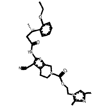 CCOc1ccccc1[C@@H](C)CC(=O)Nc1sc2c(c1C#N)CCN(C(=O)OCCn1cc(C)nc1C)C2